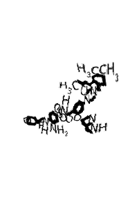 C=C(CC)CCC1=C(CN2CCN(c3ccc(C(=O)NS(=O)(=O)c4ccc(NCC5(F)CCOCC5)c(N)c4)c(Oc4cnc5[nH]ccc5c4)c3)CC2)CCC(C)(C)C1